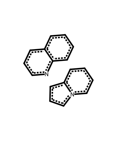 c1ccc2ncccc2c1.c1ccn2cccc2c1